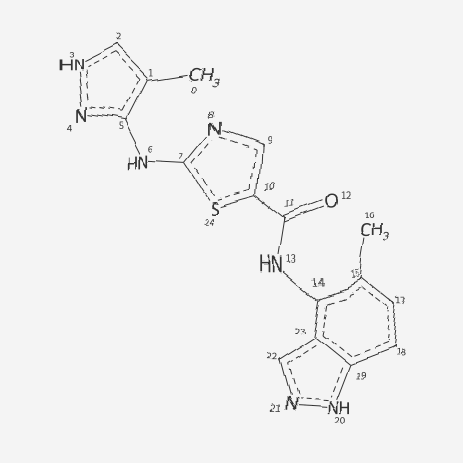 Cc1c[nH]nc1Nc1ncc(C(=O)Nc2c(C)ccc3[nH]ncc23)s1